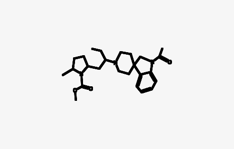 CCC(CC1CCC(C)N1C(=O)OC)N1CCC2(CC1)CN(C(C)=O)c1ccccc12